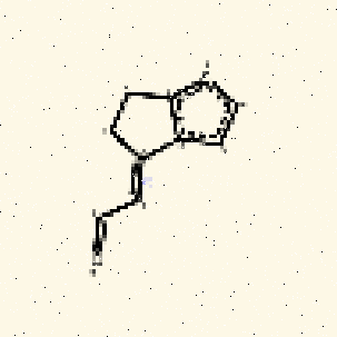 O=C/C=C1\CCc2sccc21